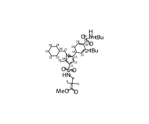 COC(=O)C(C)(C)CNS(=O)(=O)c1cc(C2C=C(C(C)(C)C)C(S(=O)(=O)NC(C)(C)C)=CC2)n(CC2CCCCC2)c1C